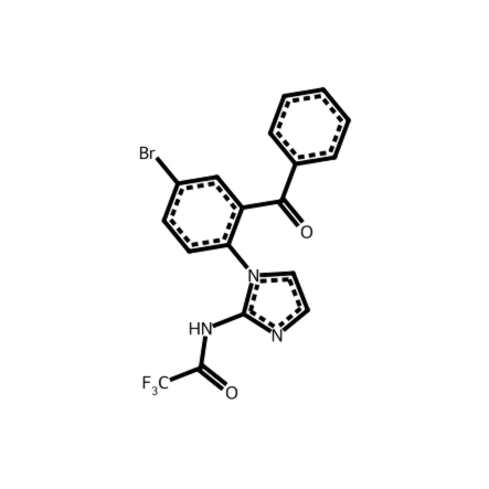 O=C(c1ccccc1)c1cc(Br)ccc1-n1ccnc1NC(=O)C(F)(F)F